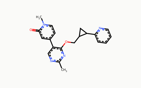 Cc1ncc(-c2ccn(C)c(=O)c2)c(OCC2CC2c2ccccn2)n1